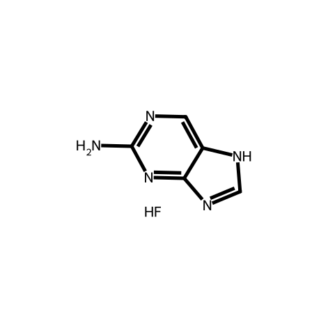 F.Nc1ncc2[nH]cnc2n1